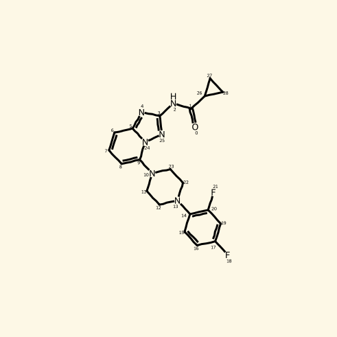 O=C(Nc1nc2cccc(N3CCN(c4ccc(F)cc4F)CC3)n2n1)C1CC1